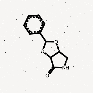 O=C1NCC2OC(c3ccccc3)OC12